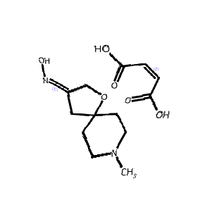 CN1CCC2(CC1)C/C(=N/O)CO2.O=C(O)/C=C\C(=O)O